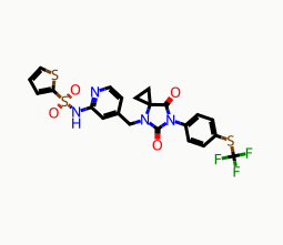 O=C1N(c2ccc(SC(F)(F)F)cc2)C(=O)C2(CC2)N1Cc1ccnc(NS(=O)(=O)c2cccs2)c1